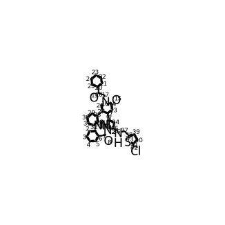 Nc1ccccc1C(=O)n1nc(-c2cc(=O)n(CC(=O)c3ccccc3)cc2-c2ccccc2)cc1NCc1ccc(Cl)s1